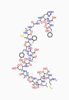 CSCC[C@H](N)C(=O)N[C@H](C(=O)N[C@@H](CO)C(=O)N[C@@H](CC(C)C)C(=O)N[C@H](C(=O)N[C@@H](C)C(=O)N[C@@H](C)C(=O)N[C@@H](CC(=O)O)C(=O)N[C@H](C(=O)N[C@@H](C)C(=O)N[C@H](C(=O)N[C@@H](Cc1ccc(O)cc1)C(=O)N[C@@H](Cc1ccccc1)C(=O)N[C@@H](CS)C(=O)N[C@@H](C)C(=O)NCC(=O)NCC(=O)N[C@@H](Cc1c[nH]cn1)C(=O)N[C@H](C(=O)N[C@@H](Cc1ccccc1)C(=O)O)[C@@H](C)O)[C@@H](C)O)[C@@H](C)O)[C@@H](C)O)[C@@H](C)O